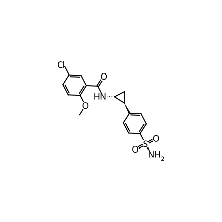 COc1ccc(Cl)cc1C(=O)N[C@@H]1C[C@H]1c1ccc(S(N)(=O)=O)cc1